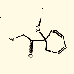 COC1(C(=O)CBr)C=CC=CC1